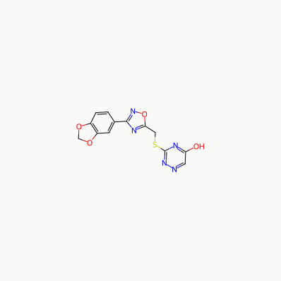 Oc1cnnc(SCc2nc(-c3ccc4c(c3)OCO4)no2)n1